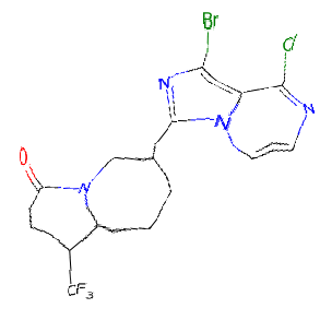 O=C1CC(C(F)(F)F)C2CCC(c3nc(Br)c4c(Cl)nccn34)CN12